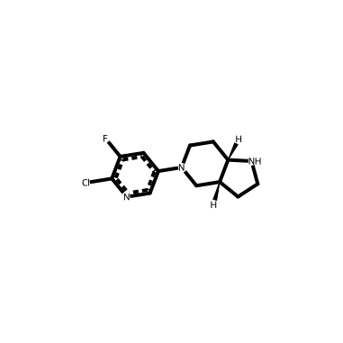 Fc1cc(N2CC[C@@H]3NCC[C@@H]3C2)cnc1Cl